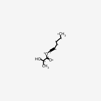 CCCCC#COC(=O)C(C)O